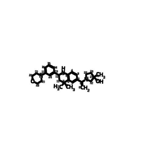 C=C(c1ccc2c(c1)C(C)(C)CC(c1cccc(N3CCOCC3)c1)N2)N1CCC(C)(O)C1